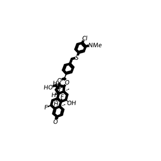 CNc1cc(SCc2ccc([C@@H]3O[C@@H]4C[C@H]5[C@@H]6C[C@H](F)C7=CC(=O)C=C[C@]7(C)[C@@]6(F)[C@@H](O)C[C@]5(C)[C@]4(C(=O)CO)O3)cc2)ccc1Cl